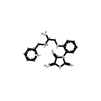 C=C1SC(=O)N(c2ccccc2OCC(C)NCc2ccccn2)C1=O